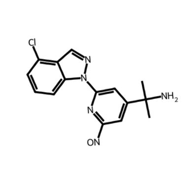 CC(C)(N)c1cc(N=O)nc(-n2ncc3c(Cl)cccc32)c1